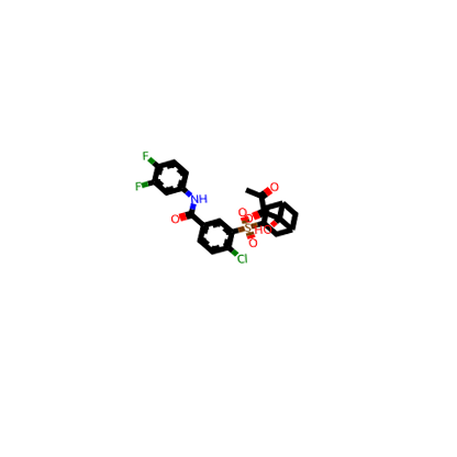 CC(=O)C(=O)C1(O)C2CC1CC(S(=O)(=O)c1cc(C(=O)Nc3ccc(F)c(F)c3)ccc1Cl)C2